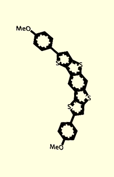 COc1ccc(-c2cc3sc4cc5sc6cc(-c7ccc(OC)cc7)sc6c5cc4c3s2)cc1